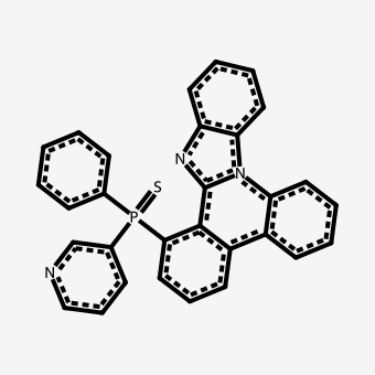 S=P(c1ccccc1)(c1cccnc1)c1cccc2c3ccccc3n3c4ccccc4nc3c12